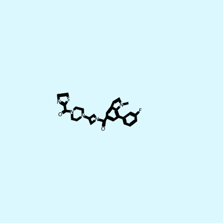 Cn1ccc2cc(C(=O)N3CC(N4CCN(C(=O)c5nccs5)CC4)C3)cc(-c3cccc(F)c3)c21